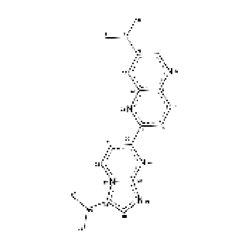 CC(C)c1cnc2ccc(-c3ccn4c(C(C)C)cnc4n3)nc2c1